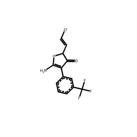 NC1=C(c2cccc(C(F)(F)F)c2)C(=O)C(/C=C/Cl)O1